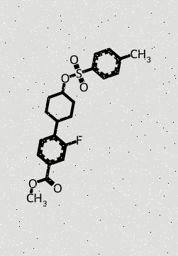 COC(=O)c1ccc(C2CCC(OS(=O)(=O)c3ccc(C)cc3)CC2)c(F)c1